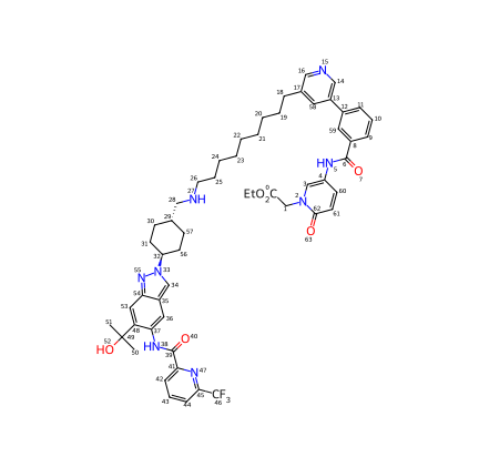 CCOC(=O)Cn1cc(NC(=O)c2cccc(-c3cncc(CCCCCCCCCNC[C@H]4CC[C@H](n5cc6cc(NC(=O)c7cccc(C(F)(F)F)n7)c(C(C)(C)O)cc6n5)CC4)c3)c2)ccc1=O